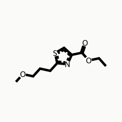 CCOC(=O)c1csc(CCCOC)n1